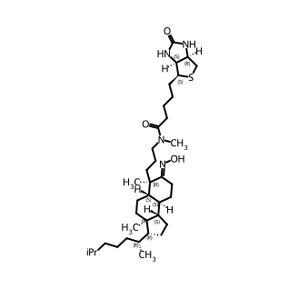 CC(C)CCC[C@@H](C)[C@H]1CC[C@H]2[C@@H]3CCC(=NO)[C@](C)(CCCN(C)C(=O)CCCC[C@@H]4SC[C@@H]5NC(=O)N[C@@H]54)[C@H]3CC[C@]12C